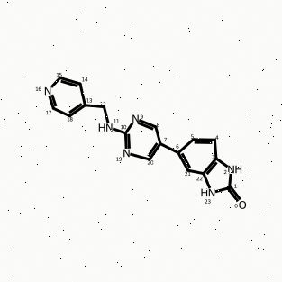 O=c1[nH]c2ccc(-c3cnc(NCc4ccncc4)nc3)cc2[nH]1